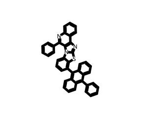 c1ccc(-c2c3ccccc3c(-c3cccc4c3sc3nc5c6ccccc6nc(-c6ccccc6)c5n34)c3ccccc23)cc1